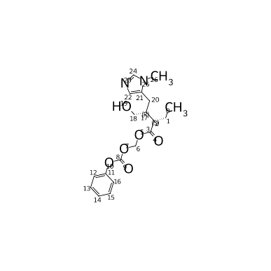 CC[C@H](C(=O)OCOC(=O)Oc1ccccc1)[C@H](CO)Cc1cncn1C